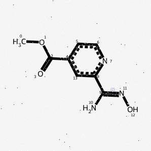 COC(=O)c1ccnc(/C(N)=N/O)c1